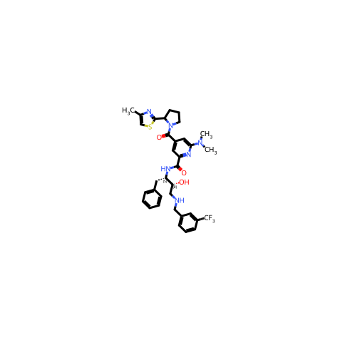 Cc1csc(C2CCCN2C(=O)c2cc(C(=O)N[C@@H](Cc3ccccc3)[C@H](O)CNCc3cccc(C(F)(F)F)c3)nc(N(C)C)c2)n1